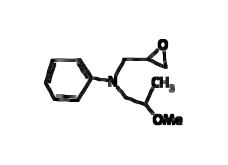 COC(C)CN(CC1CO1)c1ccccc1